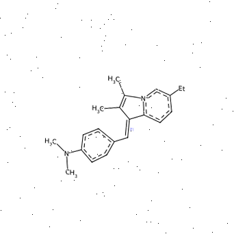 CCc1ccc2[n+](c1)C(C)=C(C)/C2=C\c1ccc(N(C)C)cc1